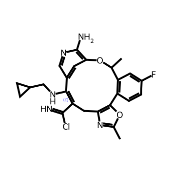 Cc1nc2c(o1)-c1ccc(F)cc1C(C)Oc1cc(cnc1N)/C(NCC1CC1)=C(/C(=N)Cl)C2